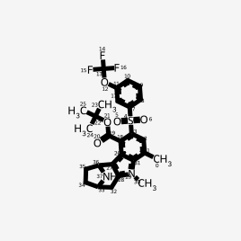 Cc1cc(S(=O)(=O)c2cccc(OC(F)(F)F)c2)c(C(=O)OC(C)(C)C)c2c3c(n(C)c12)CC1CCC3N1